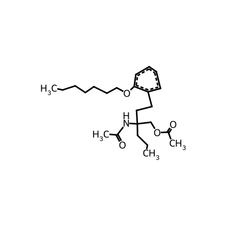 CCCCCCCOc1ccccc1CCC(CCC)(COC(C)=O)NC(C)=O